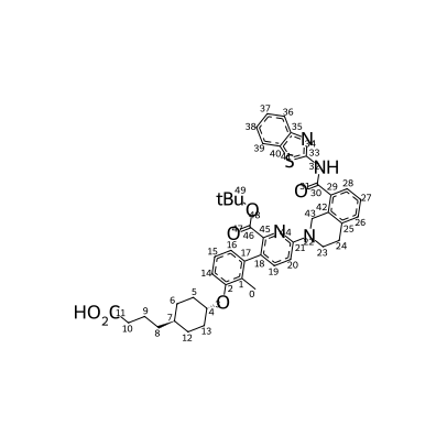 Cc1c(O[C@H]2CC[C@H](CCCC(=O)O)CC2)cccc1-c1ccc(N2CCc3cccc(C(=O)Nc4nc5ccccc5s4)c3C2)nc1C(=O)OC(C)(C)C